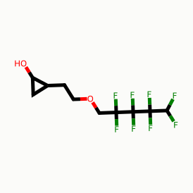 OC1CC1CCOCC(F)(F)C(F)(F)C(F)(F)C(F)F